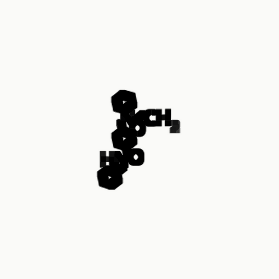 C=CC(=O)N(Cc1ccc(C(=O)NCc2ccccc2)cc1)c1ccccc1